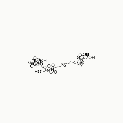 CC(=O)NC(CCCCCSSCCCC(=O)n1c(=O)ccn(C2CC(O)C(COP(=O)(O)OP(=O)(O)OP(=O)(O)O)O2)c1=O)C(=O)NC(CC(=O)O)C(=O)O